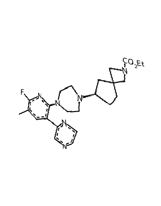 CCOC(=O)N1CC2(CC[C@@H](N3CCN(c4nc(F)c(C)cc4-c4cnccn4)CC3)C2)C1